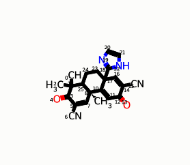 CC1(C)C(=O)C(C#N)=C[C@]2(C)C3=CC(=O)C(C#N)=CC3(c3ncc[nH]3)CCC12